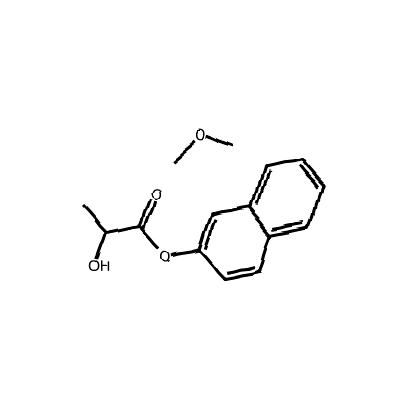 CC(O)C(=O)Oc1ccc2ccccc2c1.COC